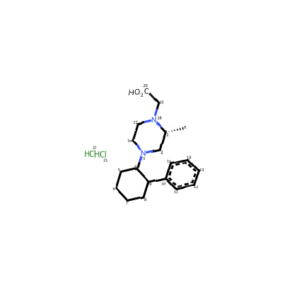 C[C@@H]1CN(C2CCCCC2c2ccccc2)CCN1CC(=O)O.Cl.Cl